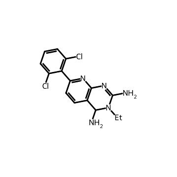 CCN1C(N)=Nc2nc(-c3c(Cl)cccc3Cl)ccc2C1N